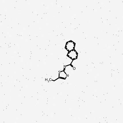 CCC1=C[N]C(=NC(=O)c2ccc3ccccc3c2)S1